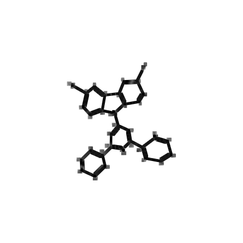 Fc1ccc2c(c1)c1cc(F)ccc1n2-c1cc(-c2ccccc2)nc(-c2ccccn2)c1